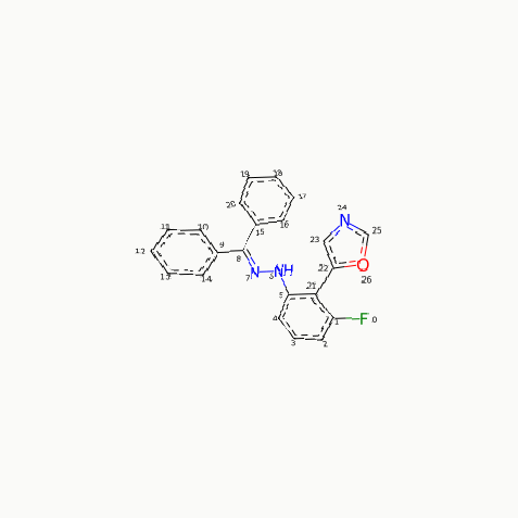 Fc1cccc(NN=C(c2ccccc2)c2ccccc2)c1-c1cnco1